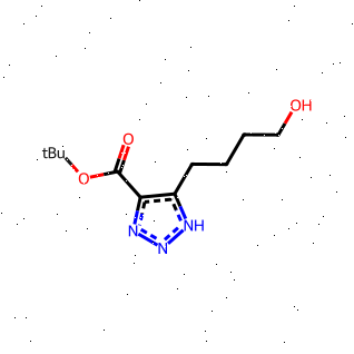 CC(C)(C)OC(=O)c1nn[nH]c1CCCCO